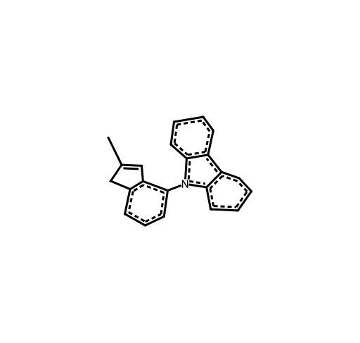 CC1=Cc2c(cccc2-n2c3ccccc3c3ccccc32)C1